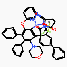 CS(=O)(=O)C1C=C(c2ccccc2)C=CC1(C(=O)N1CCCC1)c1c(N2CCOCC2)c(-c2ccccc2)c(-c2ccccc2)c(Oc2ccccc2)c1N1NN=CN1C(F)(F)F